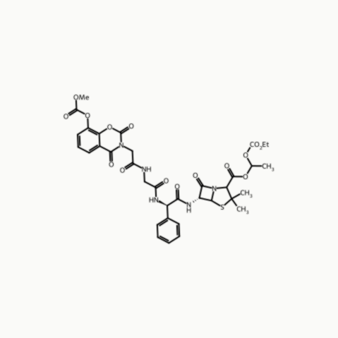 CCOC(=O)OC(C)OC(=O)C1N2C(=O)[C@@H](NC(=O)[C@H](NC(=O)CNC(=O)Cn3c(=O)oc4c(OC(=O)OC)cccc4c3=O)c3ccccc3)C2SC1(C)C